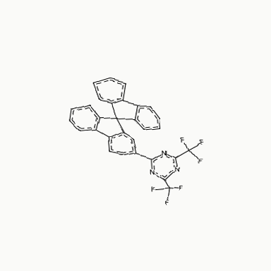 FC(F)(F)c1nc(-c2ccc3c(c2)C2(c4ccccc4-c4ccccc42)c2ccccc2-3)nc(C(F)(F)F)n1